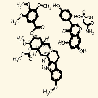 COC(=O)[C@H]1[C@H]2C[C@@H]3c4[nH]c5cc(OC)ccc5c4CCN3C[C@H]2C[C@@H](OC(=O)c2cc(OC)c(OC)c(OC)c2)[C@@H]1OC.NC(=O)CP(=O)(O)O.O=c1c(-c2ccc(O)cc2)coc2cc(O)cc(O)c12